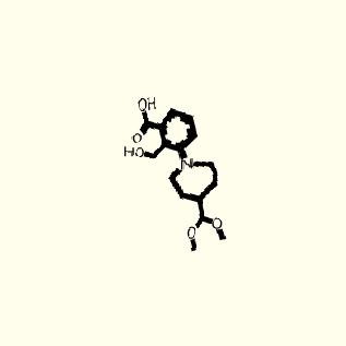 COC(OC)C1CCN(c2cccc(C(=O)O)c2CO)CC1